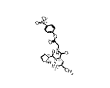 CC(C)C[C@H](NC(=O)[C@@H]1CCCN1)C(=O)NCC(=O)Oc1ccc([N+](=O)[O-])cc1